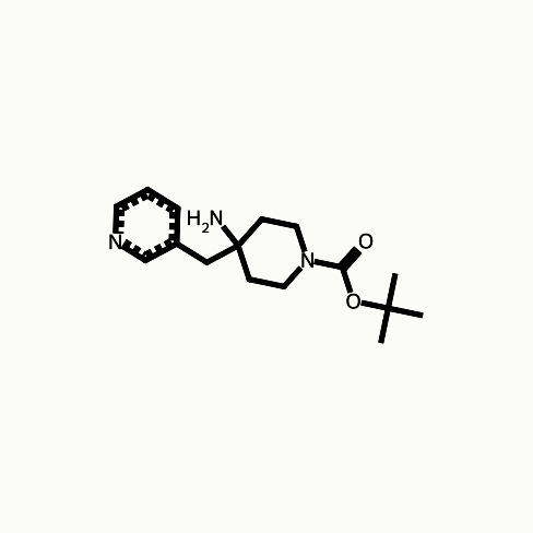 CC(C)(C)OC(=O)N1CCC(N)(Cc2cccnc2)CC1